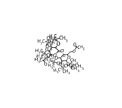 CC(=O)OCC1OC(O[Si](C)(C)C)C(O[Si](C)(C)C)C(O[Si](C)(C)C)[C@@H]1O[C@@H]1OC(COC(C)=O)[C@@H](O[Si](C)(C)C)C(O[Si](C)(C)C)C1O[Si](C)(C)C